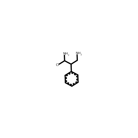 NCC(c1ccccc1)C(N)Cl